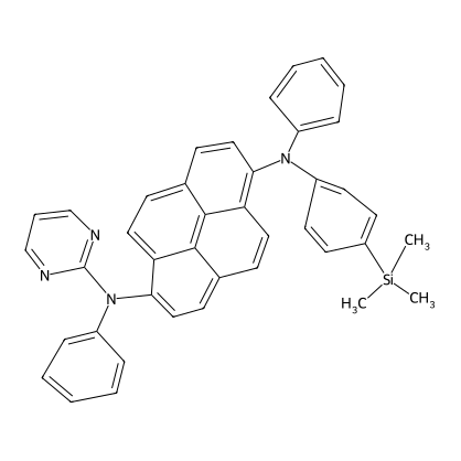 C[Si](C)(C)c1ccc(N(c2ccccc2)c2ccc3ccc4c(N(c5ccccc5)c5ncccn5)ccc5ccc2c3c54)cc1